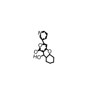 O=c1oc(-c2cccnc2)cc2c1C(O)C1CCCCC1O2